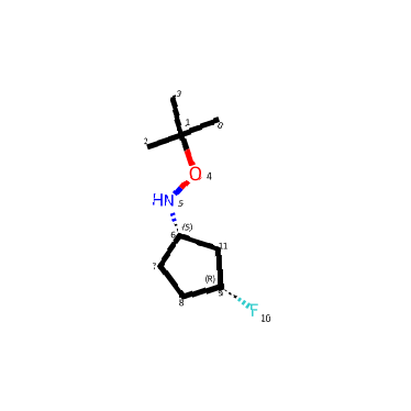 CC(C)(C)ON[C@H]1CC[C@@H](F)C1